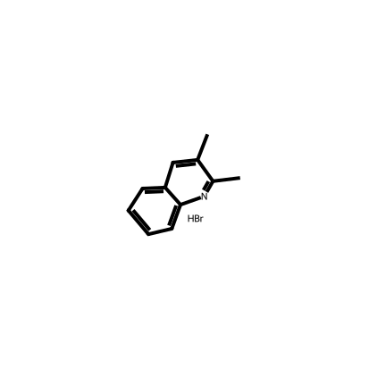 Br.Cc1cc2ccccc2nc1C